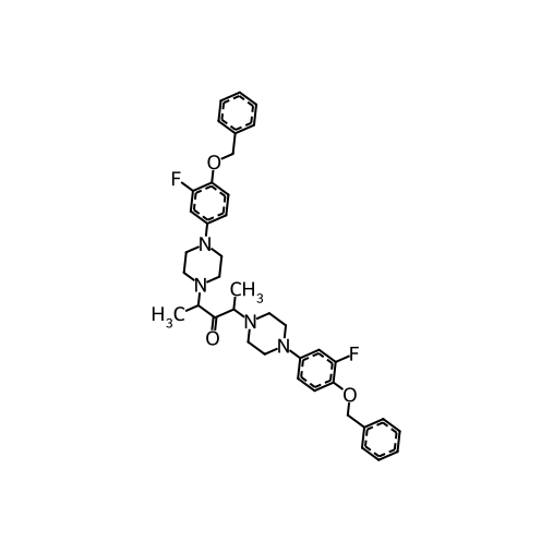 CC(C(=O)C(C)N1CCN(c2ccc(OCc3ccccc3)c(F)c2)CC1)N1CCN(c2ccc(OCc3ccccc3)c(F)c2)CC1